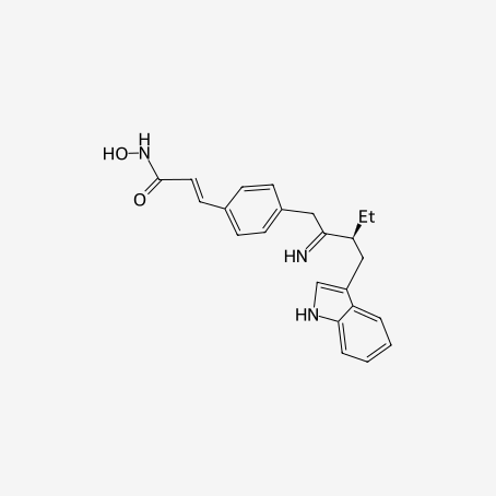 CC[C@@H](Cc1c[nH]c2ccccc12)C(=N)Cc1ccc(C=CC(=O)NO)cc1